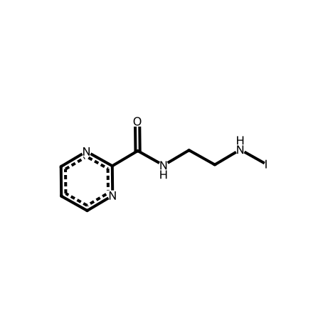 O=C(NCCNI)c1ncccn1